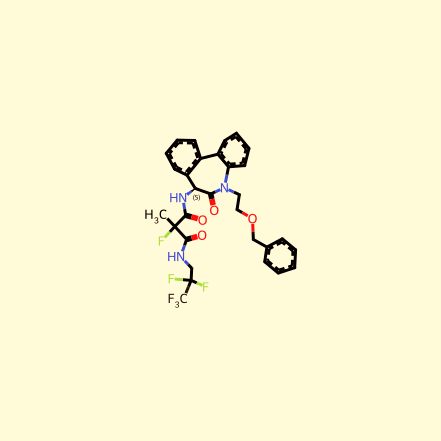 CC(F)(C(=O)NCC(F)(F)C(F)(F)F)C(=O)N[C@@H]1C(=O)N(CCOCc2ccccc2)c2ccccc2-c2ccccc21